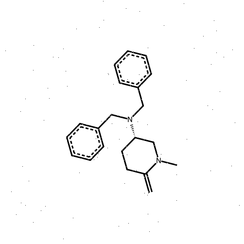 C=C1CC[C@H](N(Cc2ccccc2)Cc2ccccc2)CN1C